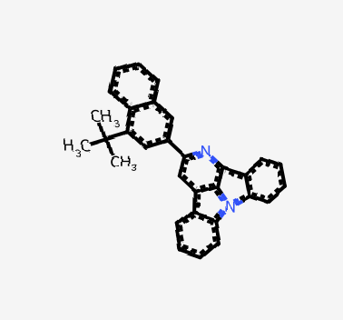 CC(C)(C)c1cc(-c2cc3c4ccccc4n4c5ccccc5c(n2)c34)cc2ccccc12